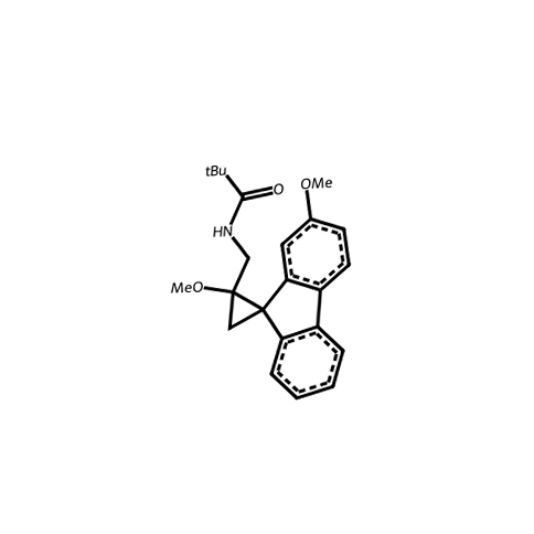 COc1ccc2c(c1)C1(CC1(CNC(=O)C(C)(C)C)OC)c1ccccc1-2